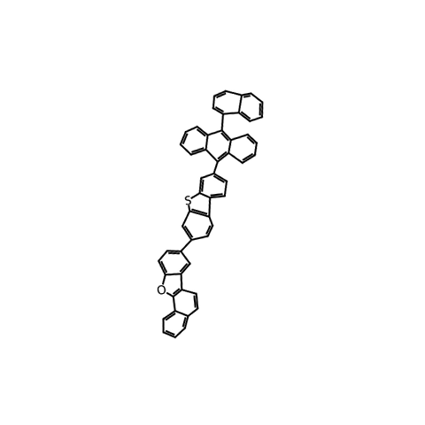 c1ccc2c(-c3c4ccccc4c(-c4ccc5c(c4)sc4cc(-c6ccc7oc8c9ccccc9ccc8c7c6)ccc45)c4ccccc34)cccc2c1